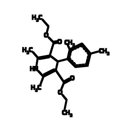 CCOC(=O)C1=C(C)NC(C)=C(C(=O)OCC)C1c1ccc(C)cc1C